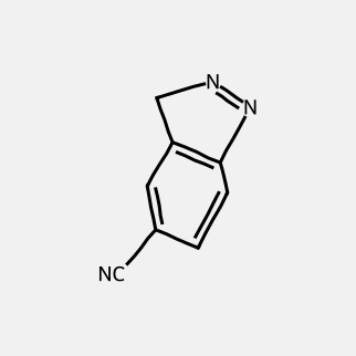 N#Cc1ccc2c(c1)CN=N2